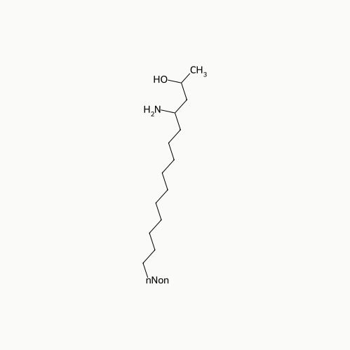 CCCCCCCCCCCCCCCCCCCC(N)CC(C)O